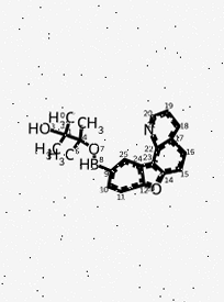 CC(C)(O)C(C)(C)OBc1ccc2oc3ccc4cccnc4c3c2c1